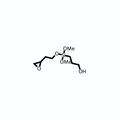 CO[Si](CCCO)(OC)OCCC1CO1